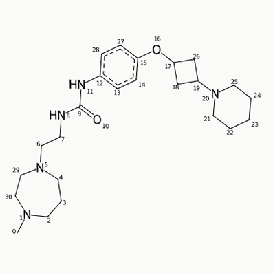 CN1CCCN(CCNC(=O)Nc2ccc(OC3CC(N4CCCCC4)C3)cc2)CC1